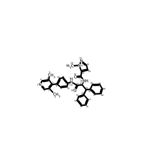 Cc1cncc(C)c1-c1ccc(NC(=O)[C@@H](NC(=O)c2ccnn2C)C(c2ccccc2)c2ccccc2)cc1